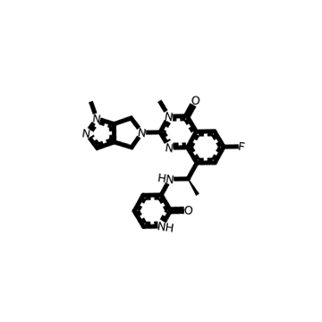 C[C@@H](Nc1ccc[nH]c1=O)c1cc(F)cc2c(=O)n(C)c(N3Cc4cnn(C)c4C3)nc12